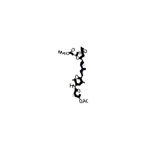 COC(=O)C[C@@H]1C[C@@]2(CO2)C[C@@H](/C=C/C(C)=C/C[C@@H]2O[C@H](C)[C@H](NC(=O)/C=C\[C@H](C)OC(C)=O)C[C@@H]2C)O1